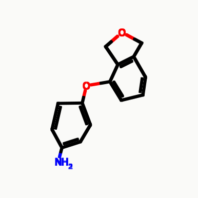 Nc1ccc(Oc2cccc3c2COC3)cc1